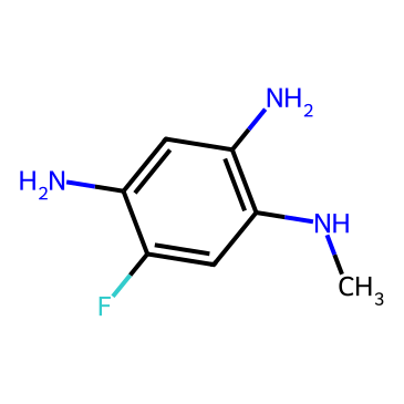 CNc1cc(F)c(N)cc1N